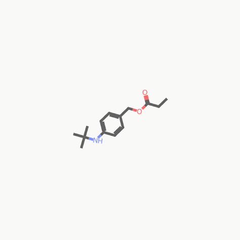 CCC(=O)OCc1ccc(NC(C)(C)C)cc1